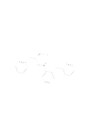 O=C(N[C@H](CO)Cc1ccccc1)c1ccccc1Cc1ccccc1